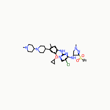 Cc1cc(Nc2ncc(Cl)c(NC3CN(C)N=C3S(=O)(=O)C(C)C)n2)c(OC2CC2)cc1C1CCN(C2CCN(C)CC2)CC1